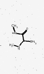 BC(NC)C(=O)NC